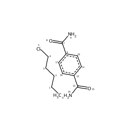 CCCCCCl.NC(=O)c1ccc(C(N)=O)cc1